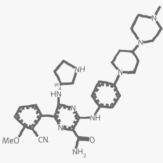 COc1cccc(-c2nc(C(N)=O)c(Nc3ccc(N4CCC(N5CCN(C)CC5)CC4)cc3)nc2N[C@@H]2CCNC2)c1C#N